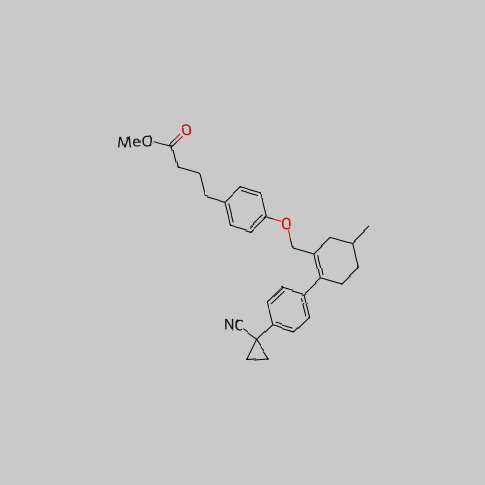 COC(=O)CCCc1ccc(OCC2=C(c3ccc(C4(C#N)CC4)cc3)CCC(C)C2)cc1